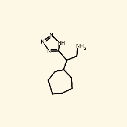 NCC(c1nnn[nH]1)C1CCCCCC1